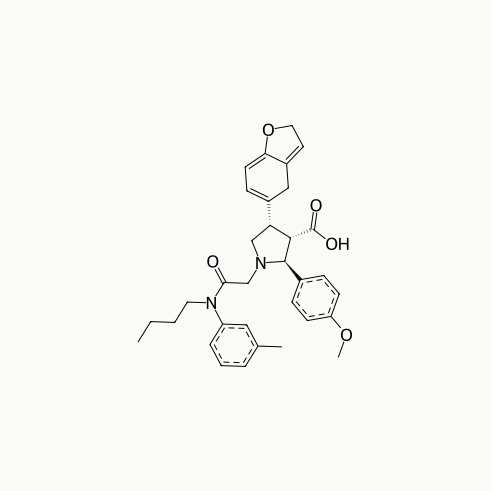 CCCCN(C(=O)CN1C[C@H](C2=CC=C3OCC=C3C2)[C@H](C(=O)O)[C@H]1c1ccc(OC)cc1)c1cccc(C)c1